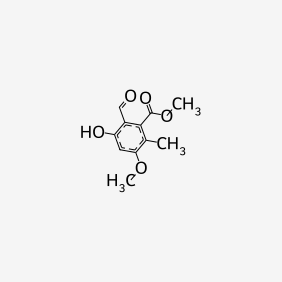 COC(=O)c1c(C)c(OC)cc(O)c1C=O